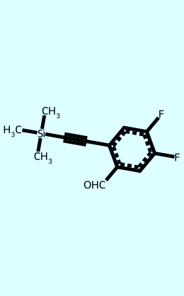 C[Si](C)(C)C#Cc1cc(F)c(F)cc1C=O